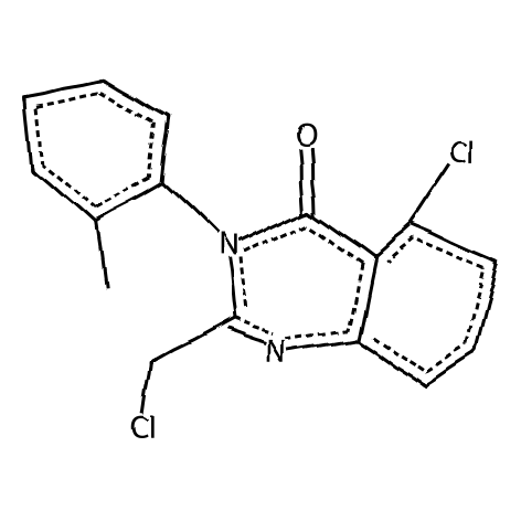 Cc1ccccc1-n1c(CCl)nc2cccc(Cl)c2c1=O